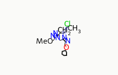 C=C1/C(=C\C=C(/C)Cl)n2cnc(COc3ccccc3)c2Cn2c(COC)nnc21